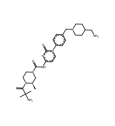 C=C(N1CCN(C(=O)Nc2ccn(-c3ccc(CN4CCC(CN)CC4)cc3)c(=O)n2)C[C@H]1C)C(C)(C)N